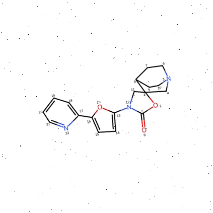 O=C1OC2(CN3CCC2CC3)CN1c1ccc(-c2ccccn2)o1